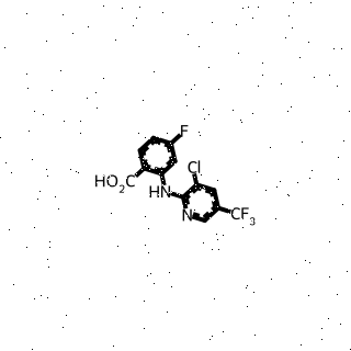 O=C(O)c1ccc(F)cc1Nc1ncc(C(F)(F)F)cc1Cl